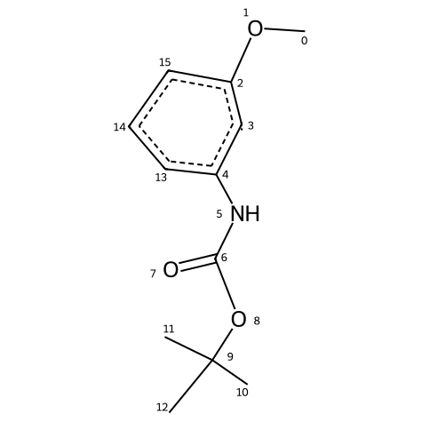 COc1[c]c(NC(=O)OC(C)(C)C)ccc1